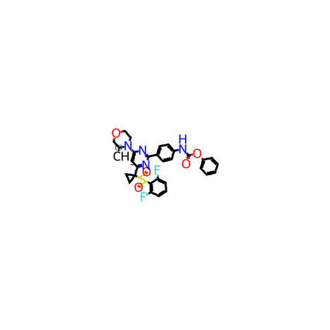 C[C@H]1COCCN1c1cc(C2(S(=O)(=O)c3c(F)cccc3F)CC2)nc(-c2ccc(NC(=O)Oc3ccccc3)cc2)n1